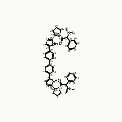 CN(C)C(C(=O)N1CCC[C@H]1c1ncc(-c2ccc(-c3ccc(-c4cnc([C@@H]5CCCN5C(=O)C(c5ccccc5)N(C)C)[nH]4)cc3)cc2)[nH]1)c1ccccc1